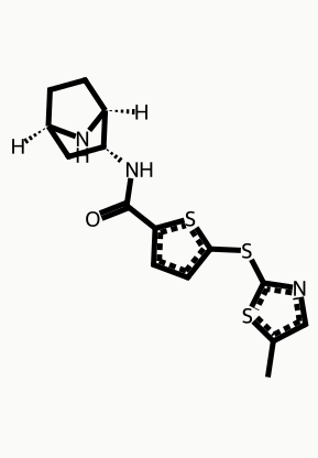 Cc1cnc(Sc2ccc(C(=O)N[C@@H]3C[C@H]4CC[C@@H]3N4)s2)s1